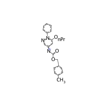 CCCOc1c/c(=N\C(=O)OCc2ccc(C)cc2)cnn1-c1ccccc1